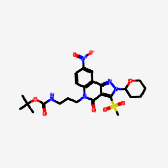 CC(C)(C)OC(=O)NCCCn1c(=O)c2c(S(C)(=O)=O)n(C3CCCCO3)nc2c2cc([N+](=O)[O-])ccc21